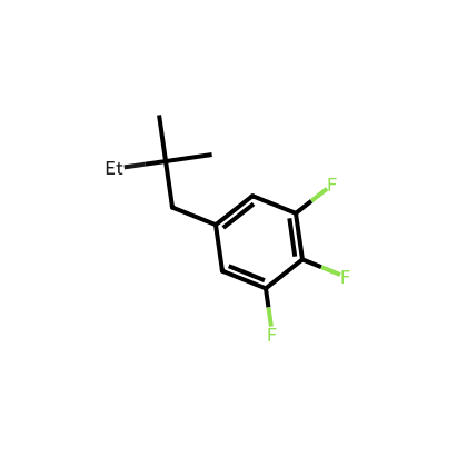 CCC(C)(C)Cc1cc(F)c(F)c(F)c1